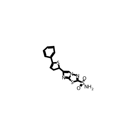 NS(=O)(=O)c1nn2cc(C3CC=C(c4ccccc4)S3)nc2s1